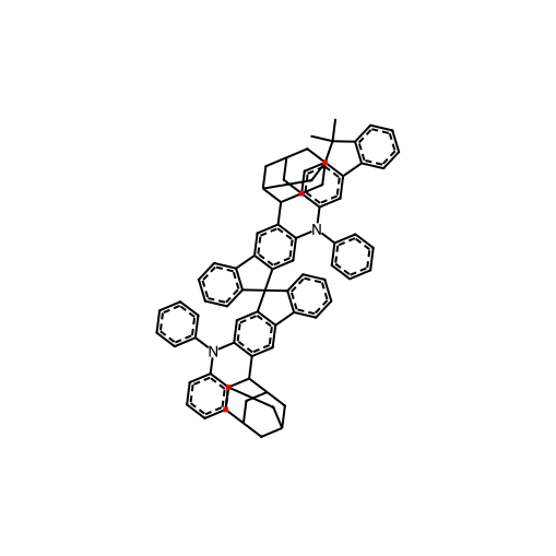 CC1(C)c2ccccc2-c2cc(N(c3ccccc3)c3cc4c(cc3C3C5CC6CC(C5)CC3C6)-c3ccccc3C43c4ccccc4-c4cc(C5C6CC7CC(C6)CC5C7)c(N(c5ccccc5)c5ccccc5)cc43)ccc21